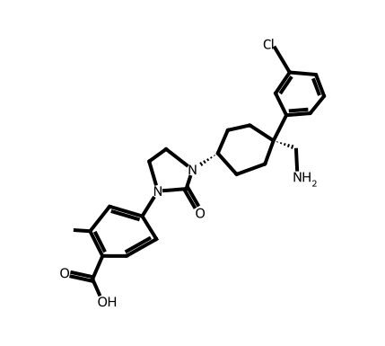 Cc1cc(N2CCN([C@H]3CC[C@](CN)(c4cccc(Cl)c4)CC3)C2=O)ccc1C(=O)O